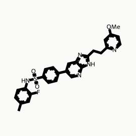 COc1ccnc(CCc2nc3cc(-c4ccc(S(=O)(=O)Nc5ccc(C)cc5F)cc4)cnc3[nH]2)c1